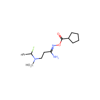 CCCC(F)N(CCC(N)=NOC(=O)C1CCCC1)C(=O)O